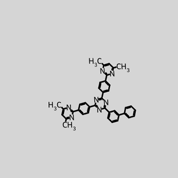 Cc1cc(C)nc(-c2ccc(-c3nc(-c4ccc(-c5nc(C)cc(C)n5)cc4)nc(-c4cccc(-c5ccccc5)c4)n3)cc2)n1